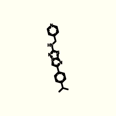 CC(C)c1ccc(-c2cn3nc(NCc4ccncc4)sc3n2)cc1